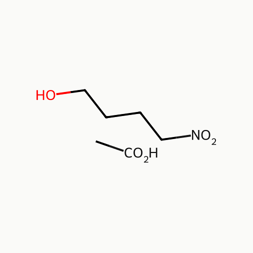 CC(=O)O.O=[N+]([O-])CCCCO